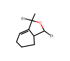 CCC1OC(C)(CC)C2=CCCCC21